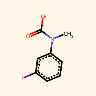 CN(C([O])=O)c1cccc(I)c1